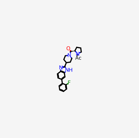 CC(=O)N1CCC[C@@H]1C(=O)N1CCC(c2nc3ccc(-c4ccccc4F)cc3[nH]2)CC1